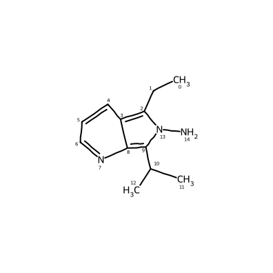 CCc1c2cccnc2c(C(C)C)n1N